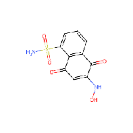 NS(=O)(=O)c1cccc2c1C(=O)C=C(NO)C2=O